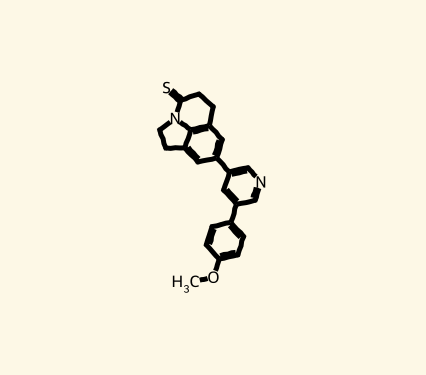 COc1ccc(-c2cncc(-c3cc4c5c(c3)CCN5C(=S)CC4)c2)cc1